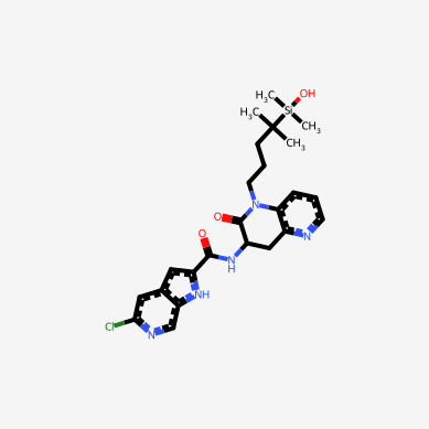 CC(C)(CCCN1C(=O)C(NC(=O)c2cc3cc(Cl)ncc3[nH]2)Cc2ncccc21)[Si](C)(C)O